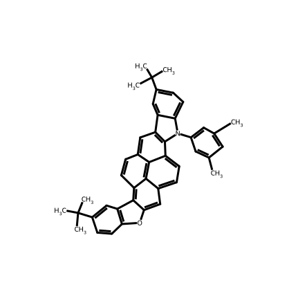 Cc1cc(C)cc(-n2c3ccc(C(C)(C)C)cc3c3cc4ccc5c6c(cc7ccc(c4c75)c32)oc2ccc(C(C)(C)C)cc26)c1